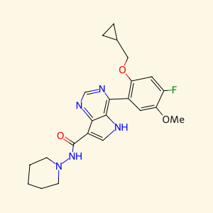 COc1cc(-c2ncnc3c(C(=O)NN4CCCCC4)c[nH]c23)c(OCC2CC2)cc1F